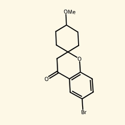 COC1CCC2(CC1)CC(=O)c1cc(Br)ccc1O2